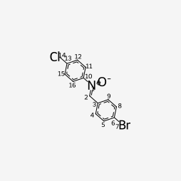 [O-][N+](=Cc1ccc(Br)cc1)c1ccc(Cl)cc1